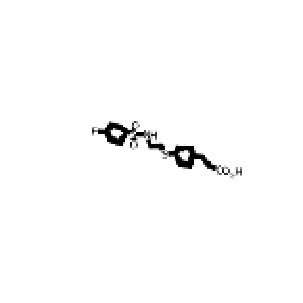 O=C(O)CCc1ccc(SCCNS(=O)(=O)c2ccc(F)cc2)cc1